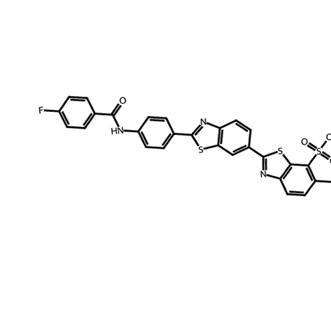 Cc1ccc2nc(-c3ccc4nc(-c5ccc(NC(=O)c6ccc(F)cc6)cc5)sc4c3)sc2c1S(=O)(=O)O